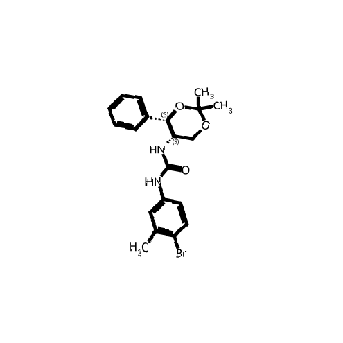 Cc1cc(NC(=O)N[C@H]2COC(C)(C)O[C@H]2c2ccccc2)ccc1Br